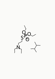 CC(C)C(C)C.CCOP(=O)(OCC)SCCN(CC)CC